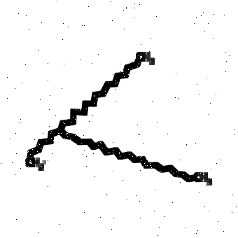 [CH2]CCCCCC(CCCCCCCCCCCCCCC)CCCCCCCCCCCCCCCCCCCC